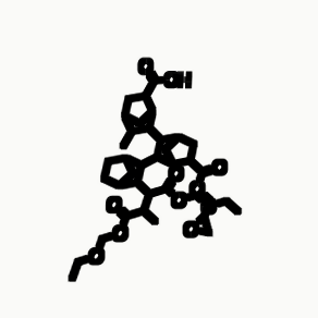 CCOCOC(=O)C(C)C(C(=O)OCOCC)C1C2CCC(C2)C1C1C2CC(CC2C(=O)OCC2CO2)C1C1C(C)C2CC(C(=O)O)C1C2